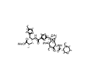 COC(=O)[C@@H](C)C[C@H](Cc1nc(C)cs1)NC(=O)c1csc([C@@H](C[C@H](C(C)C)N(C)C(=O)[C@@H](NC(=O)[C@H]2COCCN2C)C2CC2)OC(C)=O)n1